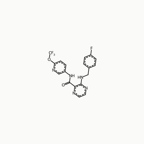 O=C(Nc1ccc(OC(F)(F)F)nc1)c1nccnc1NCc1ccc(F)cc1